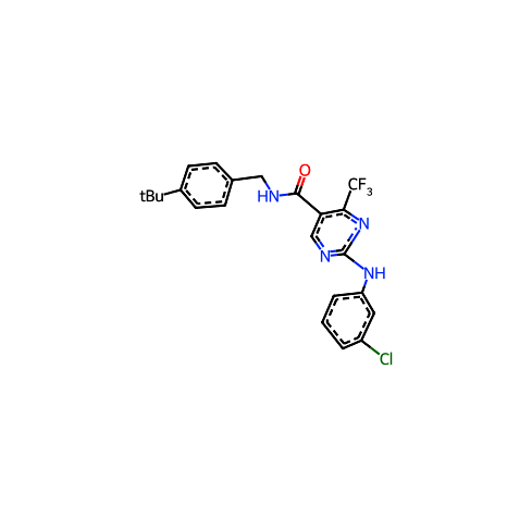 CC(C)(C)c1ccc(CNC(=O)c2cnc(Nc3cccc(Cl)c3)nc2C(F)(F)F)cc1